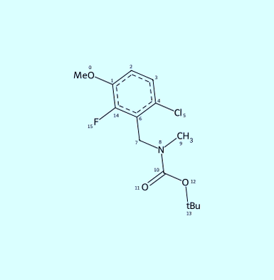 COc1ccc(Cl)c(CN(C)C(=O)OC(C)(C)C)c1F